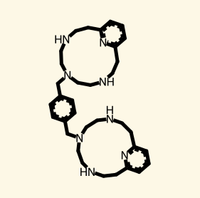 c1cc2nc(c1)CCNCCN(Cc1ccc(CN3CCNCCc4cccc(n4)CCNCC3)cc1)CCNCC2